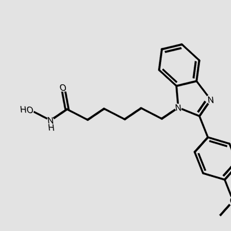 COc1ccc(-c2nc3ccccc3n2CCCCCC(=O)NO)cc1